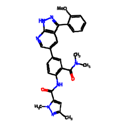 COc1ccccc1-c1n[nH]c2ncc(-c3ccc(NC(=O)c4cc(C)nn4C)c(C(=O)N(C)C)c3)cc12